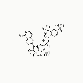 Cl.Cl.[2H]c1nccc2cc(NC(=O)[C@]([2H])(CN)c3ccc(C([2H])([2H])OC(=O)c4ccc(C([2H])([2H])[2H])cc4C([2H])([2H])[2H])cc3)ccc12